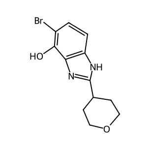 Oc1c(Br)ccc2[nH]c(C3CCOCC3)nc12